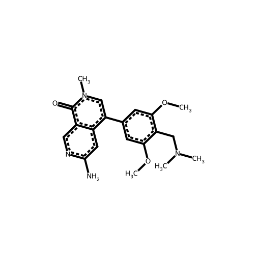 COc1cc(-c2cn(C)c(=O)c3cnc(N)cc23)cc(OC)c1CN(C)C